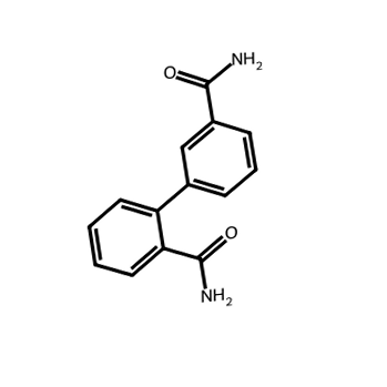 NC(=O)c1cccc(-c2ccccc2C(N)=O)c1